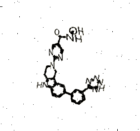 O=C(NO)c1cnc(N2CCc3[nH]c4ccc(-c5cccc(-c6nnn[nH]6)c5)cc4c3C2)nc1